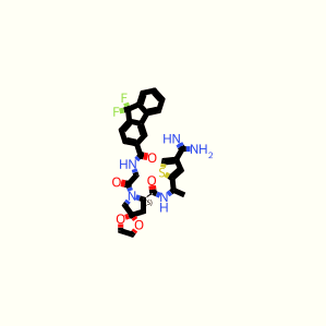 CC(NC(=O)[C@@H]1CC2(CN1C(=O)CNC(=O)c1ccc3c(c1)-c1ccccc1C3(F)F)OCCO2)c1cc(C(=N)N)cs1